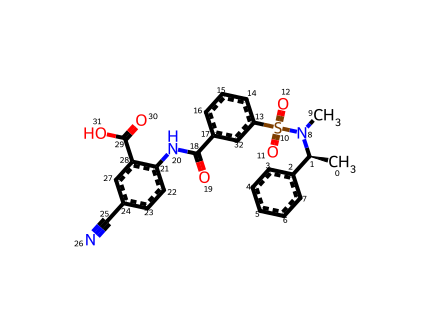 C[C@@H](c1ccccc1)N(C)S(=O)(=O)c1cccc(C(=O)Nc2ccc(C#N)cc2C(=O)O)c1